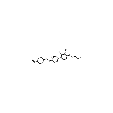 C=CC1CCC(COC2CCC(c3ccc(OCCCC)c(F)c3F)CO2)CC1